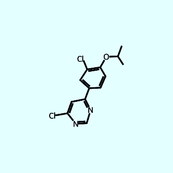 CC(C)Oc1ccc(-c2cc(Cl)ncn2)cc1Cl